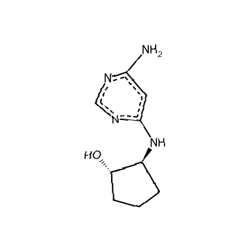 Nc1cc(N[C@H]2CCC[C@@H]2O)ncn1